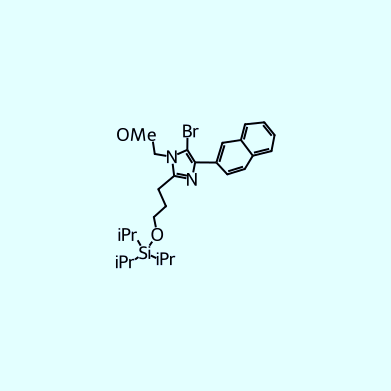 COCn1c(CCCO[Si](C(C)C)(C(C)C)C(C)C)nc(-c2ccc3ccccc3c2)c1Br